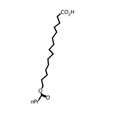 CCCC(=O)OCCCCCCCCCCCCCCC(=O)O